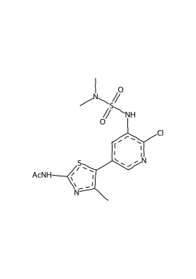 CC(=O)Nc1nc(C)c(-c2cnc(Cl)c(NS(=O)(=O)N(C)C)c2)s1